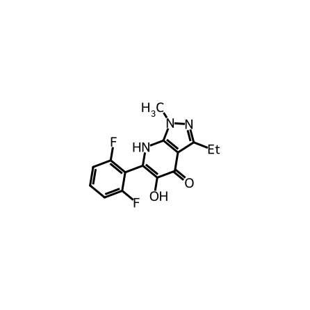 CCc1nn(C)c2[nH]c(-c3c(F)cccc3F)c(O)c(=O)c12